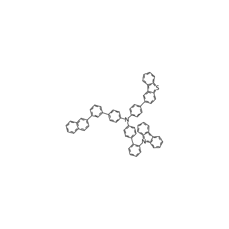 c1cc(-c2ccc(N(c3ccc(-c4ccc5sc6ccccc6c5c4)cc3)c3ccc(-c4ccccc4-n4c5ccccc5c5ccccc54)cc3)cc2)cc(-c2ccc3ccccc3c2)c1